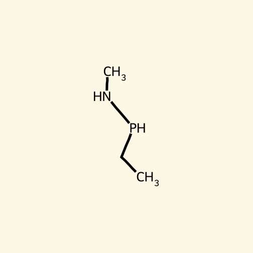 CCPNC